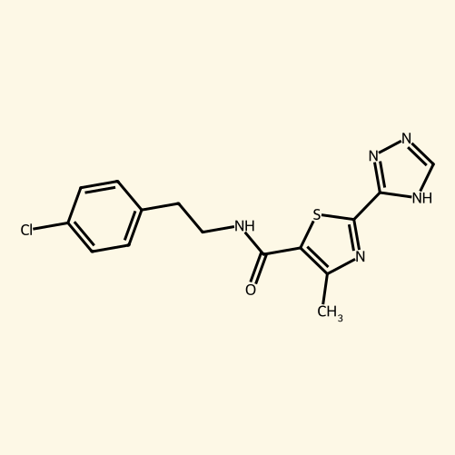 Cc1nc(-c2nnc[nH]2)sc1C(=O)NCCc1ccc(Cl)cc1